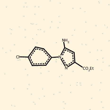 CCOC(=O)c1cc(N)n(-c2ccc(Cl)cc2)n1